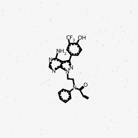 C=CC(=O)N(CCn1nc(-c2ccc(O)c(C(F)(F)F)c2)c2c(N)ncnc21)c1ccccc1